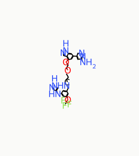 Nc1cc(-c2cc(OCCOCCCCNCc3cc(Nc4cn[nH]c4)cc(OC(F)(F)F)c3)c3cn[nH]c3c2)cnn1